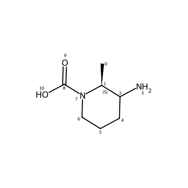 C[C@H]1C(N)CCCN1C(=O)O